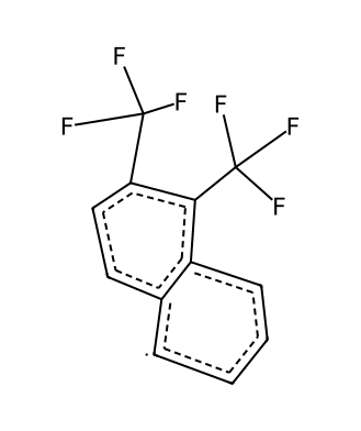 FC(F)(F)c1ccc2[c]cccc2c1C(F)(F)F